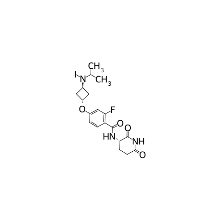 CC(C)N(I)[C@H]1C[C@H](Oc2ccc(C(=O)N[C@H]3CCC(=O)NC3=O)c(F)c2)C1